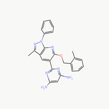 Cc1ccccc1COc1nc2c(cc1-c1nc(N)cc(N)n1)c(C)nn2-c1ccccc1